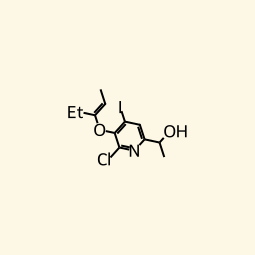 CC=C(CC)Oc1c(I)cc(C(C)O)nc1Cl